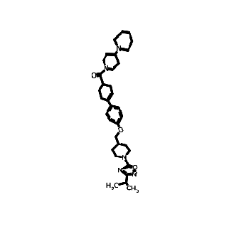 CC(C)c1noc(N2CCC(COc3ccc(C4=CCC(C(=O)N5CCC(N6CCCCC6)CC5)CC4)cc3)CC2)n1